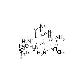 NCCN.NCCN.NCCN.O.[Cl-].[Cl-].[Cl-].[Rh+3]